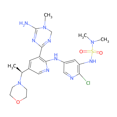 C[C@@H](c1cnc(Nc2cnc(Cl)c(NS(=O)(=O)N(C)C)c2)c(C2=NCN(C)C(N)=N2)c1)N1CCOCC1